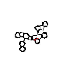 c1ccc(-c2ccccc2)c(N(c2ccc3oc4c(-c5ccc6ccccc6c5)c5c(cc4c3c2)OC2C=CC=CC52)c2cccc3c2sc2ccccc23)c#1